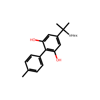 CCCCCCC(C)(C)c1cc(O)c(-c2ccc(C)cc2)c(O)c1